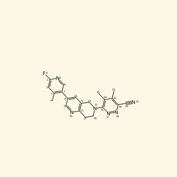 Cc1cc(F)ncc1-c1cnc2c(c1)CN(c1nnc(C#N)c(C)c1C)CC2